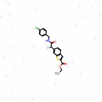 CCOC(=O)c1cc2ccc(C(F)C(=O)NCc3ccc(Cl)cc3)cc2s1